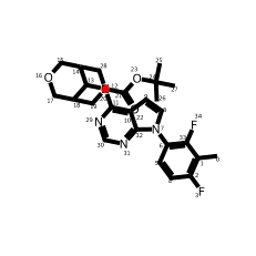 Cc1c(F)ccc(-n2ccc3c(OC4C5COCC4CN(C(=O)OC(C)(C)C)C5)ncnc32)c1F